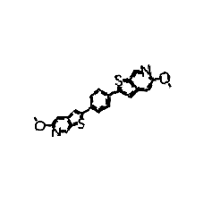 COc1cc2cc(-c3ccc(-c4cc5cc(OC)ncc5s4)cc3)sc2cn1